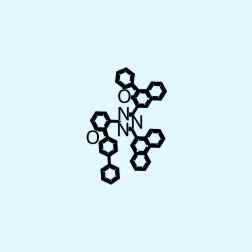 c1ccc(-c2ccc3c(c2)oc2cccc(-c4nc(-c5cc6ccccc6c6ccccc56)nc(-c5cc6ccccc6c6c5oc5ccccc56)n4)c23)cc1